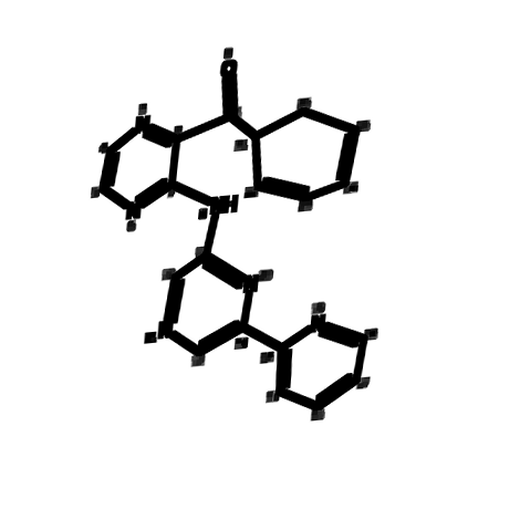 O=C(c1nccnc1Nc1cncc(-c2ccccn2)n1)C1C=CC=CC1